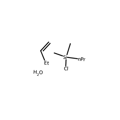 C=CCC.CCC[Si](C)(C)Cl.O